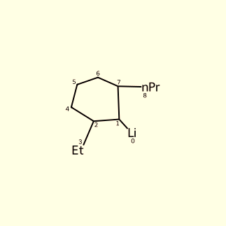 [Li][CH]1C(CC)CCCC1CCC